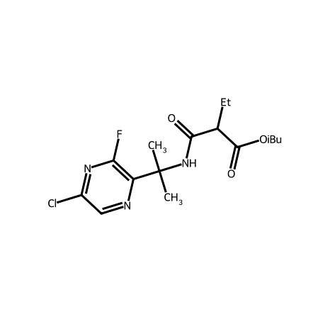 CCC(C(=O)NC(C)(C)c1ncc(Cl)nc1F)C(=O)OCC(C)C